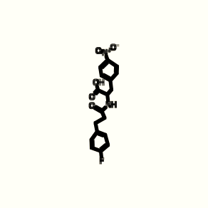 O=C(CCc1ccc(F)cc1)NC(Cc1ccc([N+](=O)[O-])cc1)C(=O)O